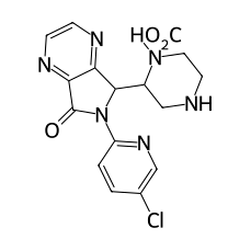 O=C(O)N1CCNCC1C1c2nccnc2C(=O)N1c1ccc(Cl)cn1